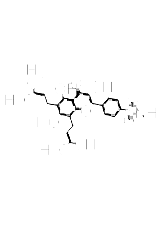 CC(C)=CCc1c(O)c(CC=C(C)C)c2oc(-c3ccc(S(N)(=O)=O)cc3)c(O)c(=O)c2c1O